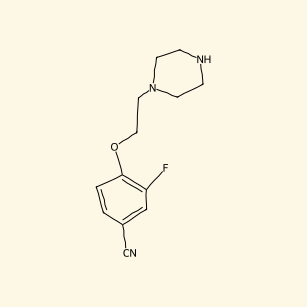 N#Cc1ccc(OCCN2CCNCC2)c(F)c1